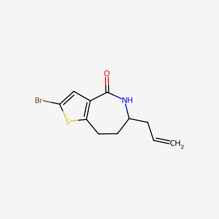 C=CCC1CCc2sc(Br)cc2C(=O)N1